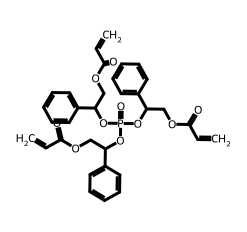 C=CC(=O)OCC(OP(=O)(OC(COC(=O)C=C)c1ccccc1)OC(COC(=O)C=C)c1ccccc1)c1ccccc1